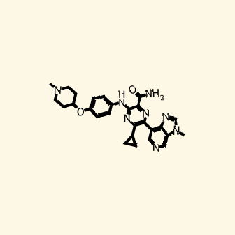 CN1CCC(Oc2ccc(Nc3nc(C4CC4)c(-c4cncc5c4ncn5C)nc3C(N)=O)cc2)CC1